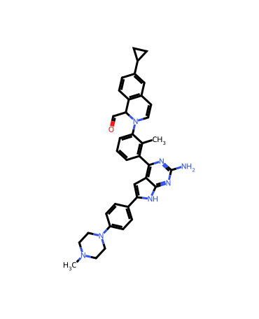 Cc1c(-c2nc(N)nc3[nH]c(-c4ccc(N5CCN(C)CC5)cc4)cc23)cccc1N1C=Cc2cc(C3CC3)ccc2C1C=O